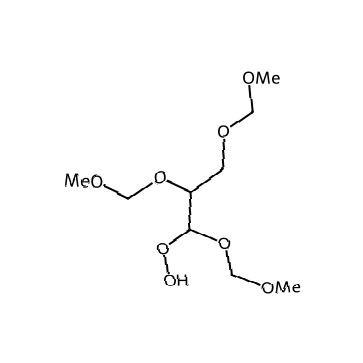 COCOCC(OCOC)C(OO)OCOC